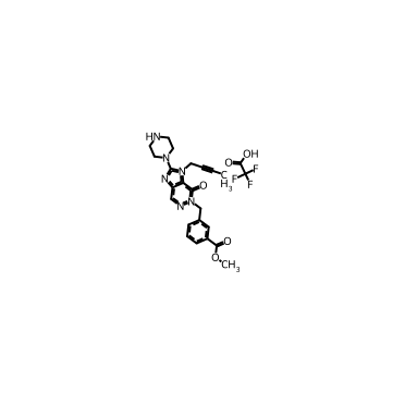 CC#CCn1c(N2CCNCC2)nc2cnn(Cc3cccc(C(=O)OC)c3)c(=O)c21.O=C(O)C(F)(F)F